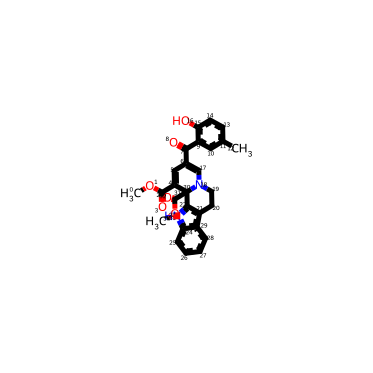 COC(=O)C1=CC(C(=O)c2cc(C)ccc2O)=CN2CCc3c([nH]c4ccccc34)C12C(=O)OC